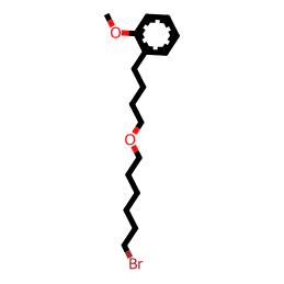 COc1ccccc1CCCCOCCCCCCBr